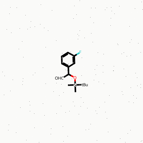 CC(C)(C)[Si](C)(C)OC(C=O)c1cccc(F)c1